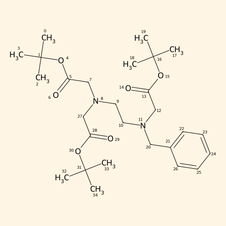 CC(C)(C)OC(=O)CN(CCN(CC(=O)OC(C)(C)C)Cc1ccccc1)CC(=O)OC(C)(C)C